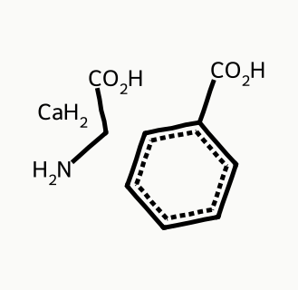 NCC(=O)O.O=C(O)c1ccccc1.[CaH2]